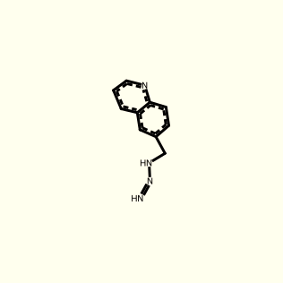 N=NNCc1ccc2ncccc2c1